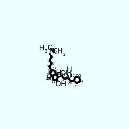 CN(C)CCCCCC1=C[C@H]2C[C@@H](O)[C@H](C(O)C=C(O)CC3CCCC3)[C@H]2C1